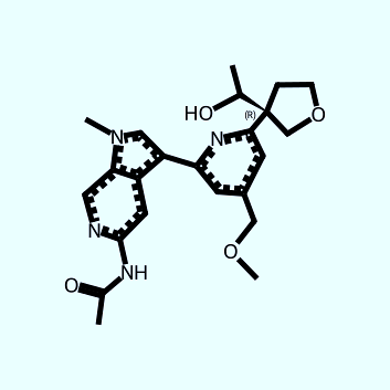 COCc1cc(-c2cn(C)c3cnc(NC(C)=O)cc23)nc([C@]2(C(C)O)CCOC2)c1